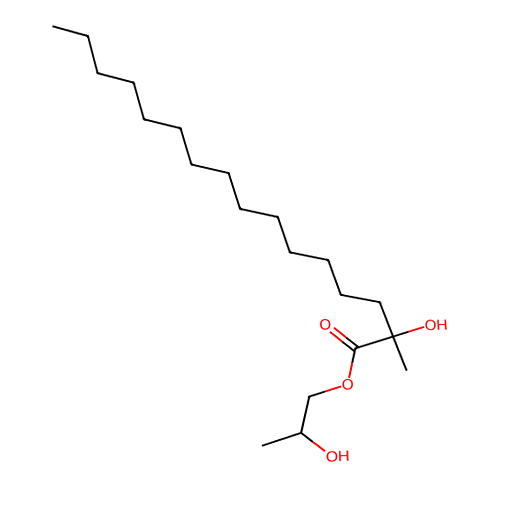 CCCCCCCCCCCCCCC(C)(O)C(=O)OCC(C)O